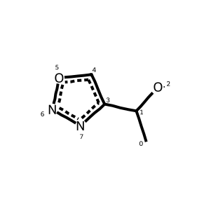 CC([O])c1conn1